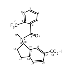 CN(C(=O)c1cccnc1C(F)(F)F)[C@@H]1CCc2ccc(C(=O)O)cc21